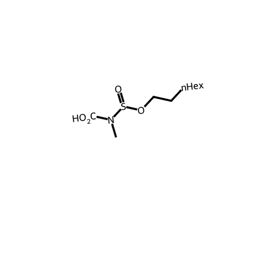 CCCCCCCCOS(=O)N(C)C(=O)O